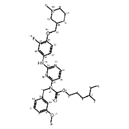 CCC(C)CCCOC(=O)N(Cc1cccc(OC)c1)c1ccnc(Nc2ccc(OCC3CCCN(C)C3)c(F)c2)n1